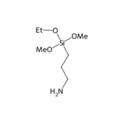 CCO[Si](CCCN)(OC)OC